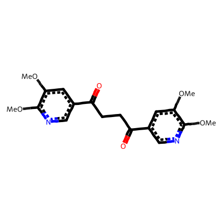 COc1cc(C(=O)CCC(=O)c2cnc(OC)c(OC)c2)cnc1OC